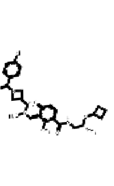 C=c1ccc(C(=O)NC[C@@H](C)OC2CCC2)c(C)/c1=C/N(C)CC1CN(C(=O)c2ccc(Cl)cc2)C1